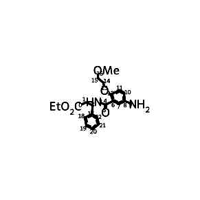 CCOC(=O)CC(NC(=O)c1cc(N)ccc1OCCOC)c1ccccc1